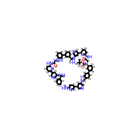 CNc1ccc(-c2cncc(NCc3ccc(-c4cccc(N(CC(=O)Nc5cccc(-c6cncc(N[C@@H](C)c7cccc(-c8cccc(NCC(=O)Nc9cccc(-c%10cncc(N[C@@H](C)c%11ccccc%11)c%10)n9)c8)c7)c6)n5)C(=O)OC(C)(C)C)c4)cc3)c2)cn1